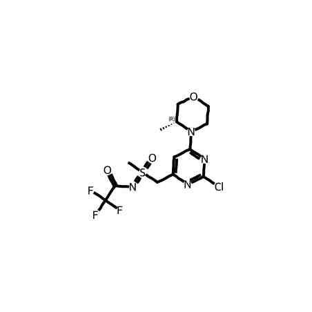 C[C@@H]1COCCN1c1cc(CS(C)(=O)=NC(=O)C(F)(F)F)nc(Cl)n1